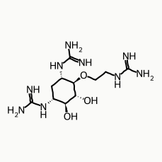 N=C(N)NCCO[C@H]1[C@H](O)[C@@H](O)[C@H](NC(=N)N)C[C@@H]1NC(=N)N